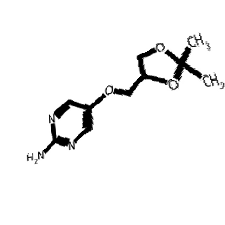 CC1(C)OCC(COc2cnc(N)nc2)O1